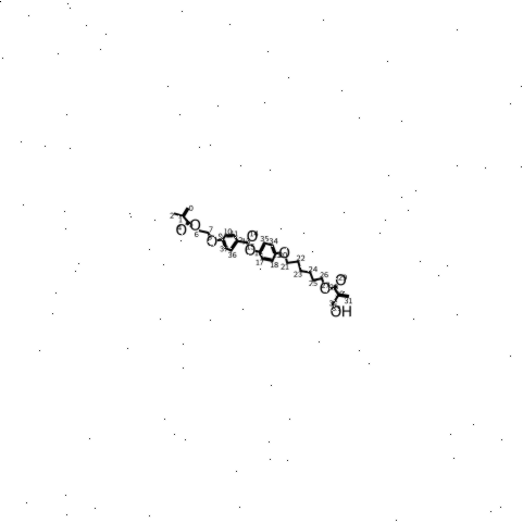 C=C(C)C(=O)OCCOc1ccc(C(=O)Oc2ccc(OCCCCCCOC(=O)C(=C)CO)cc2)cc1